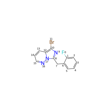 Fc1ccccc1Cc1nc(Br)c2cccnn12